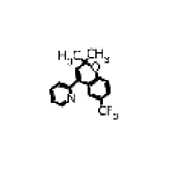 CC1(C)C=C(c2ccccn2)c2cc(C(F)(F)F)ccc2O1